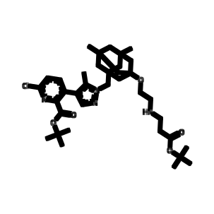 Cc1c(-c2ccc(Cl)nc2C(=O)OC(C)(C)C)cnn1CC12CC3(C)CC(C)(C1)CC(OCCNCCC(=O)OC(C)(C)C)(C3)C2